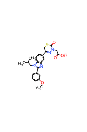 COc1cccc(-c2nc3cc(C4=NN(CC(=O)O)C(=O)SC4)ccc3n2CC(C)C)c1